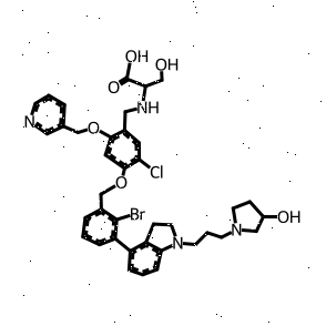 O=C(O)C(CO)NCc1cc(Cl)c(OCc2cccc(-c3cccc4c3CCN4CCCN3CCC(O)C3)c2Br)cc1OCc1cccnc1